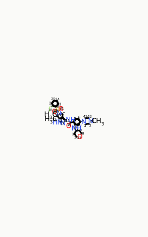 CN1CCN(c2ccc(C(=O)Nc3n[nH]c4c3CN(S(=O)(=O)c3ccccc3F)C4(C)C)c(NC3CCOCC3)c2)CC1